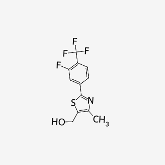 Cc1nc(-c2ccc(C(F)(F)F)c(F)c2)sc1CO